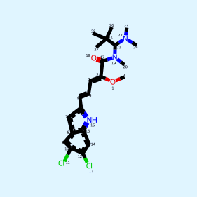 COC(=CC=Cc1cc2cc(Cl)c(Cl)cc2[nH]1)C(=O)N(C)C(N(C)C)C(C)(C)C